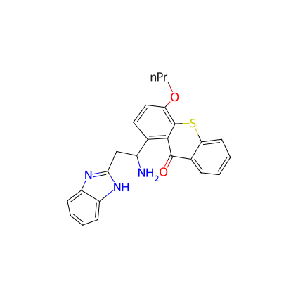 CCCOc1ccc(C(N)Cc2nc3ccccc3[nH]2)c2c(=O)c3ccccc3sc12